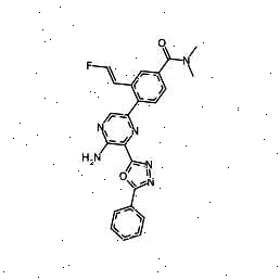 CN(C)C(=O)c1ccc(-c2cnc(N)c(-c3nnc(-c4ccccc4)o3)n2)c(/C=C/F)c1